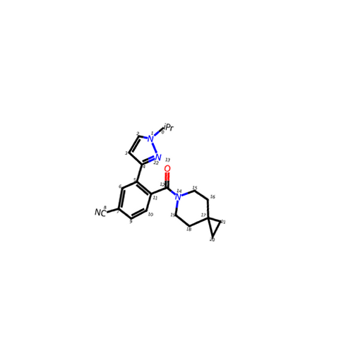 CC(C)n1ccc(-c2cc(C#N)ccc2C(=O)N2CCC3(CC2)CC3)n1